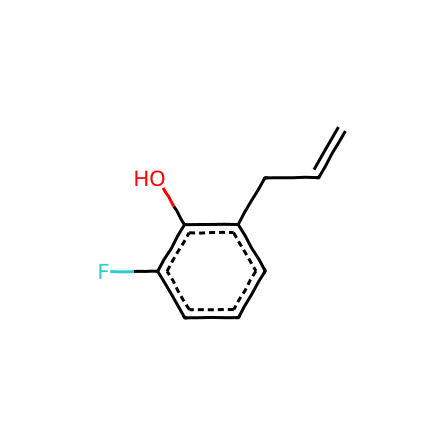 C=CCc1cccc(F)c1O